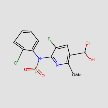 COc1nc(N(c2ccccc2Cl)[SH](=O)=O)c(F)cc1B(O)O